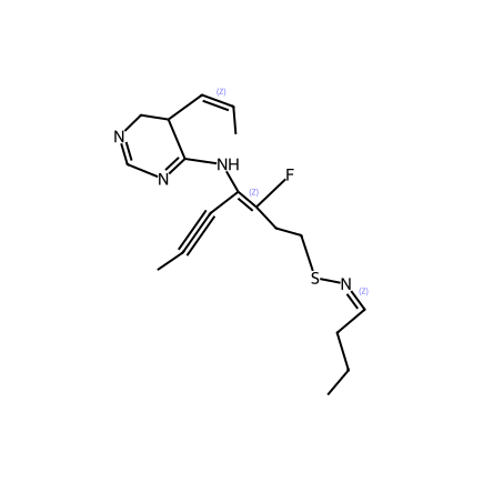 CC#C/C(NC1=NC=NCC1/C=C\C)=C(/F)CCS/N=C\CCC